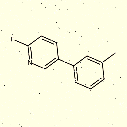 Cc1c[c]cc(-c2ccc(F)nc2)c1